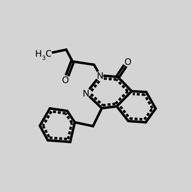 CCC(=O)Cn1nc(Cc2ccccc2)c2ccccc2c1=O